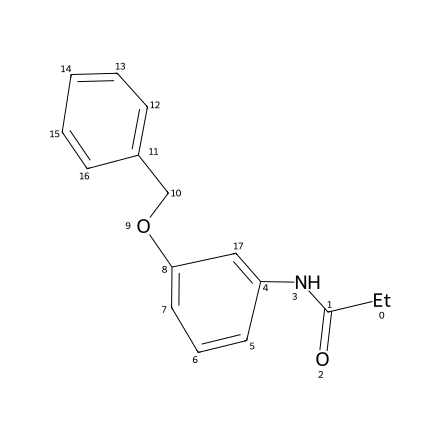 [CH2]CC(=O)Nc1cccc(OCc2ccccc2)c1